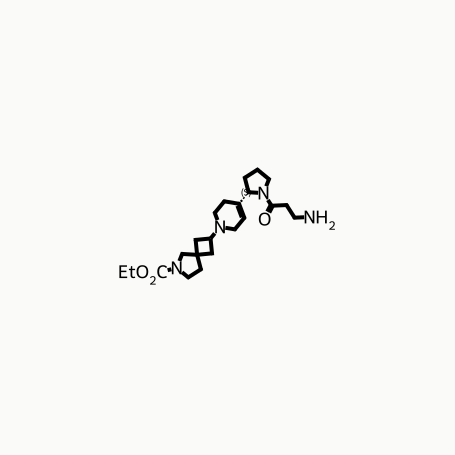 CCOC(=O)N1CCC2(CC(N3CC=C([C@@H]4CCCN4C(=O)CCN)CC3)C2)C1